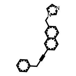 C(#Cc1ccc2ccc(Cn3ccnc3)cc2c1)Cc1ccccc1